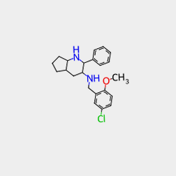 COc1ccc(Cl)cc1CNC1CC2CCCC2NC1c1ccccc1